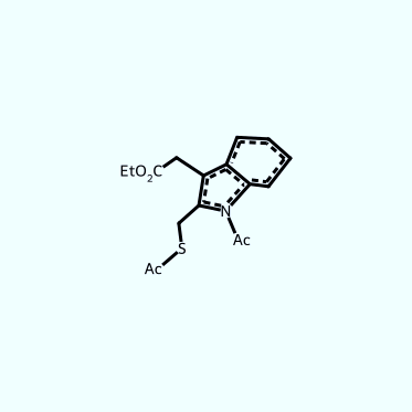 CCOC(=O)Cc1c(CSC(C)=O)n(C(C)=O)c2ccccc12